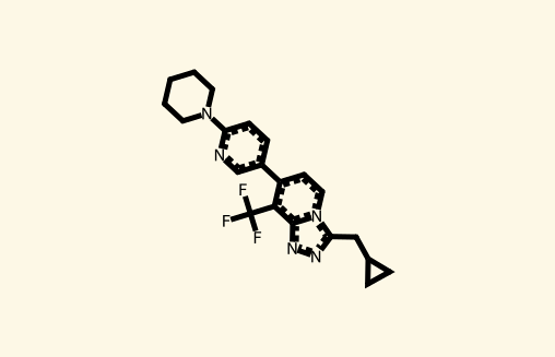 FC(F)(F)c1c(-c2ccc(N3CCCCC3)nc2)ccn2c(CC3CC3)nnc12